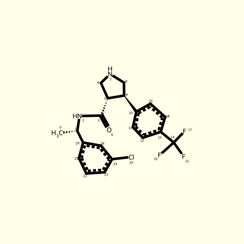 C[C@H](NC(=O)[C@@H]1CNC[C@H]1c1ccc(C(F)(F)F)cc1)c1cccc(Cl)c1